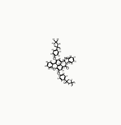 CC(C)(C)CC(C)(C)c1ccc(Oc2cc3c(=O)n4c5ccccc5nc4c4cc(Oc5ccc(C(C)(C)CC(C)(C)C)cc5)c5c6ccccc6oc2c5c34)cc1